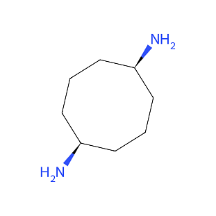 N[C@H]1CCC[C@@H](N)CCC1